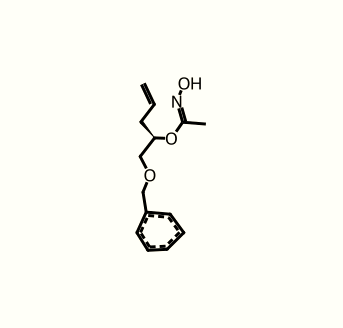 C=CC[C@H](COCc1ccccc1)OC(C)=NO